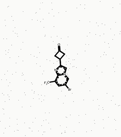 O=C1CC(c2cn3cc(Br)cc(C(F)(F)F)c3n2)C1